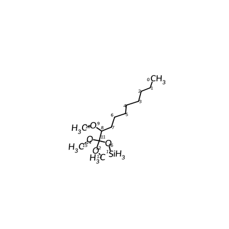 CCCCCCCCC(OC)C(OC)(OC)O[SiH3]